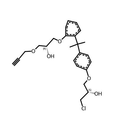 C#CCOC[C@@H](O)COc1ccccc1C(C)(C)c1ccc(OC[C@H](O)CCl)cc1